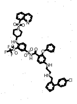 O=C(NS(=O)(=O)c1ccc(NC2CCN(S(=O)(=O)c3cccc4cccnc34)CC2)c(S(=O)(=O)C(F)(F)F)c1)c1ccc(NCCNCc2ccccc2-c2ccc(Cl)cc2)cc1Oc1ccccc1